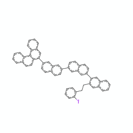 Ic1ccccc1CCc1cc2ccccc2cc1-c1ccc2ccc(-c3ccc4ccc(-c5cc6ccccc6c6c5ccc5ccccc56)cc4c3)cc2c1